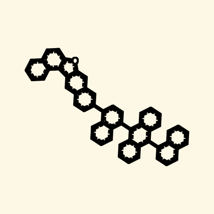 c1ccc2c(-c3c4ccccc4c(-c4ccc(-c5ccc6cc7c(cc6c5)oc5ccc6ccccc6c57)c5ccccc45)c4ccccc34)cccc2c1